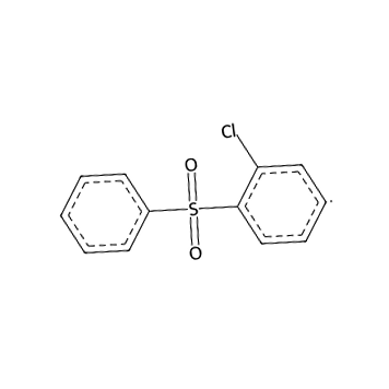 O=S(=O)(c1ccccc1)c1cc[c]cc1Cl